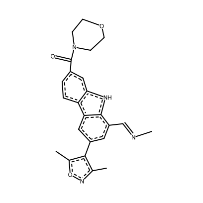 C/N=C/c1cc(-c2c(C)noc2C)cc2c1[nH]c1cc(C(=O)N3CCOCC3)ccc12